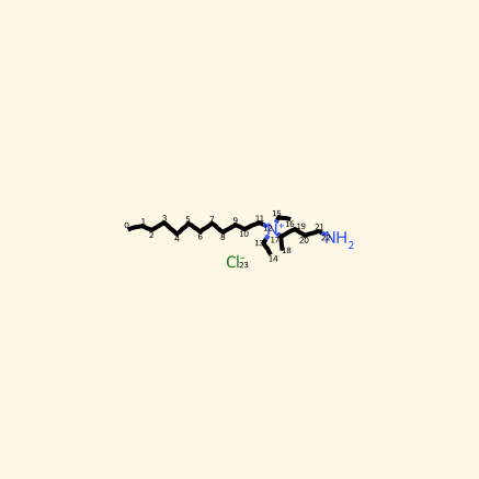 CCCCCCCCCCCC[N+](CC)(CC)C(C)CCCN.[Cl-]